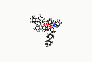 C1=C2/C=C\C=C/C(C3c4ccccc4-c4ccc5c(c43)Oc3cccc(N(c4ccccc4)c4ccc(-c6ccc(-c7ccccc7)cc6)cc4)c3O5)C1c1ccccc12